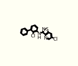 Clc1cnc2c(Nc3cccc(-c4ccccc4)c3Cl)nsc2c1